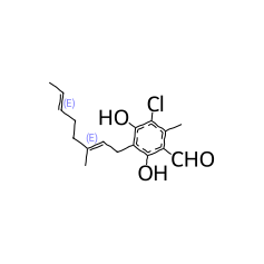 C/C=C/CC/C(C)=C/Cc1c(O)c(Cl)c(C)c(C=O)c1O